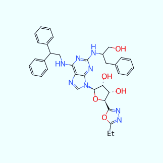 CCc1nnc([C@H]2O[C@@H](n3cnc4c(NCC(c5ccccc5)c5ccccc5)nc(NC(CO)Cc5ccccc5)nc43)[C@H](O)[C@@H]2O)o1